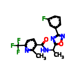 Cc1nc(C(F)(F)F)ccc1C(=O)NC(C)c1nc(-c2cccc(F)c2)no1